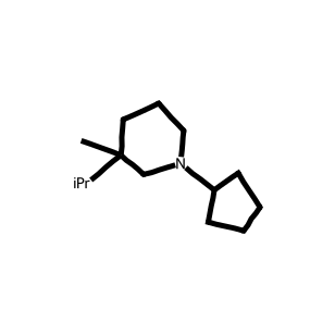 CC(C)C1(C)CCCN(C2CCCC2)C1